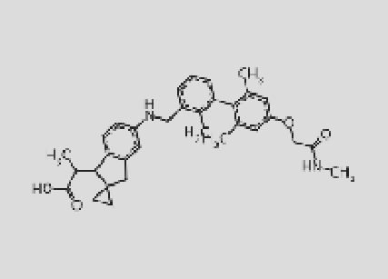 CNC(=O)COc1cc(C)c(-c2cccc(CNc3ccc4c(c3)CC3(CC3)C4C(C)C(=O)O)c2C)c(C)c1